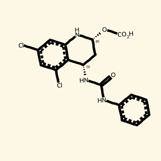 O=C(Nc1ccccc1)N[C@H]1C[C@@H](OC(=O)O)Nc2cc(Cl)cc(Cl)c21